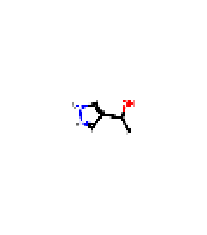 CC(O)C1=C[N]N=C1